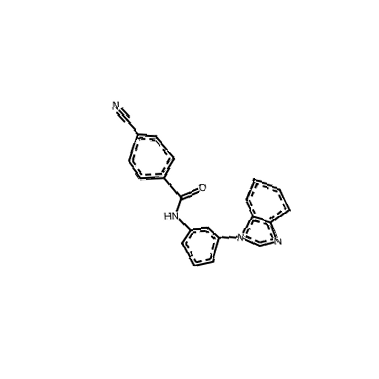 N#Cc1ccc(C(=O)Nc2cccc(-n3cnc4ccccc43)c2)cc1